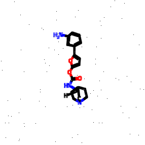 Nc1cccc(-c2ccc(OC(=O)N[C@H]3CN4CCC3CC4)o2)c1